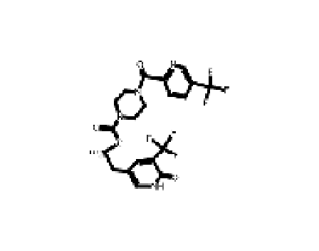 C[C@@H](Cc1c[nH]c(=O)c(C(F)(F)F)c1)OC(=O)N1CCN(C(=O)c2ccc(C(F)(F)F)cn2)CC1